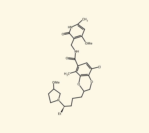 CC[C@H](CCCC1COc2c(Cl)cc(C(=O)NCc3c(OC)cc(C)[nH]c3=O)c(C)c2O1)N1CCC(OC)C1